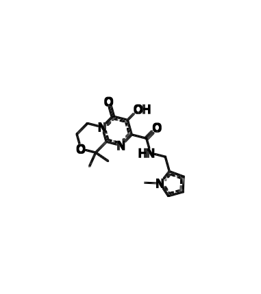 Cn1cccc1CNC(=O)c1nc2n(c(=O)c1O)CCOC2(C)C